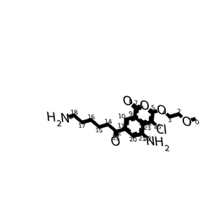 COCCOc1oc(=O)c2cc(C(=O)CCCCCN)cc(N)c2c1Cl